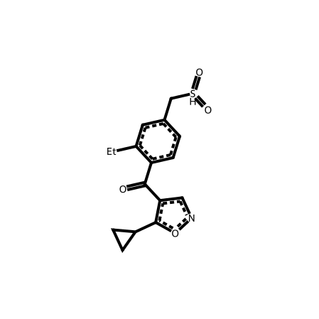 CCc1cc(C[SH](=O)=O)ccc1C(=O)c1cnoc1C1CC1